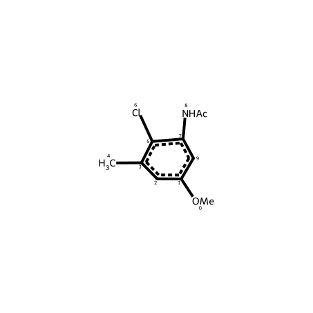 COc1cc(C)c(Cl)c(NC(C)=O)c1